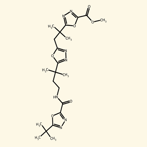 COC(=O)c1nnc(C(C)(C)Cc2nnc(C(C)(C)CCNC(=O)c3nnc(C(C)(C)C)o3)o2)o1